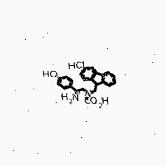 Cl.N[C@H](CN(CC1c2ccccc2-c2ccccc21)C(=O)O)c1ccc(O)cc1